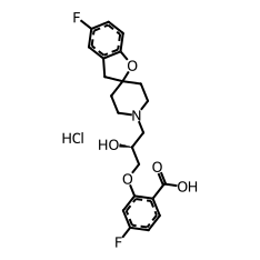 Cl.O=C(O)c1ccc(F)cc1OC[C@@H](O)CN1CCC2(CC1)Cc1cc(F)ccc1O2